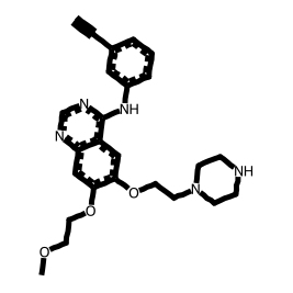 C#Cc1cccc(Nc2ncnc3cc(OCCOC)c(OCCN4CCNCC4)cc23)c1